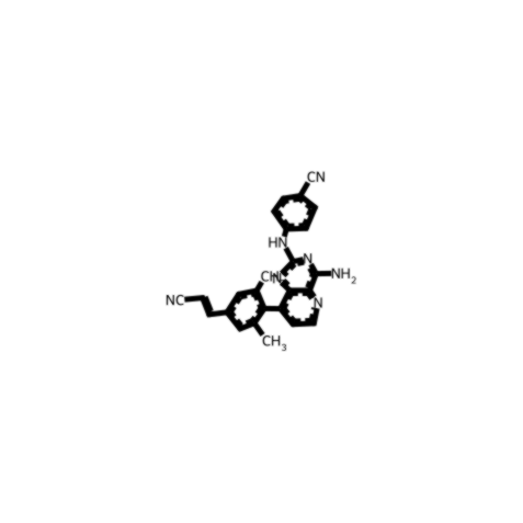 Cc1cc(C=CC#N)cc(C)c1-c1ccnc2c(N)nc(Nc3ccc(C#N)cc3)nc12